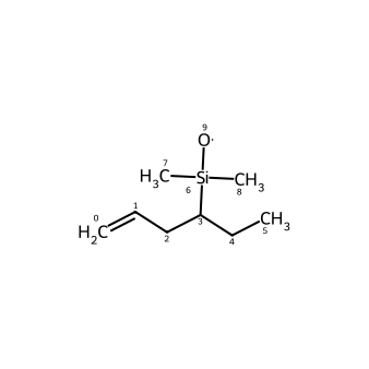 C=CCC(CC)[Si](C)(C)[O]